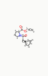 CCOC(=O)c1cccn1C(C)=O.c1cc2cc-2c1